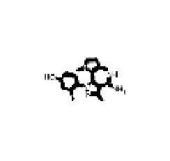 Cc1ccn(C)c1-c1c(C(=N)N)c(C)nn1-c1ccc(O)cc1F